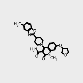 Cc1ccc2oc(C3CCN(c4c(C(N)=O)c(=O)n(C)c5cc(OC6CCOC6)ccc45)CC3)nc2c1